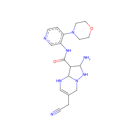 N#CCC1=CNC2C(C(=O)Nc3cnccc3N3CCOCC3)C(N)NN2C1